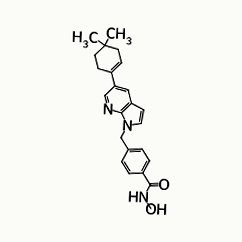 CC1(C)CC=C(c2cnc3c(ccn3Cc3ccc(C(=O)NO)cc3)c2)CC1